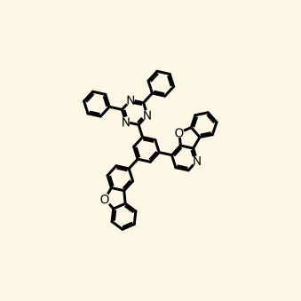 c1ccc(-c2nc(-c3ccccc3)nc(-c3cc(-c4ccc5oc6ccccc6c5c4)cc(-c4ccnc5c4oc4ccccc45)c3)n2)cc1